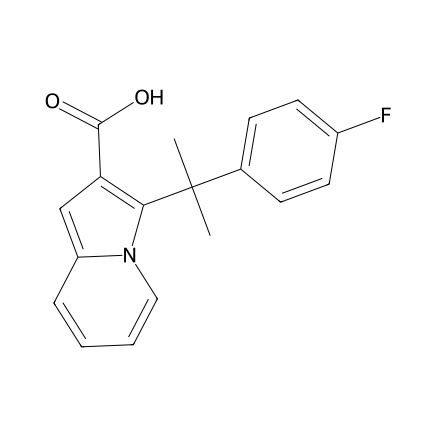 CC(C)(c1ccc(F)cc1)c1c(C(=O)O)cc2ccccn12